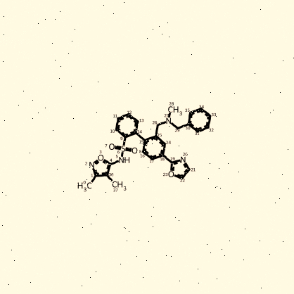 Cc1noc(NS(=O)(=O)c2ccccc2-c2ccc(-c3ncco3)cc2CN(C)Cc2ccccc2)c1C